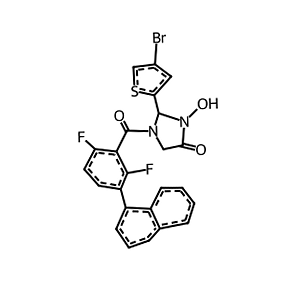 O=C1CN(C(=O)c2c(F)ccc(-c3cccc4ccccc34)c2F)C(c2cc(Br)cs2)N1O